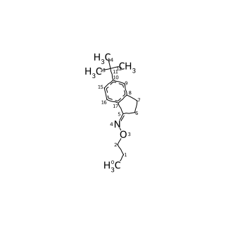 CCCO/N=C1\CCc2cc(C(C)(C)C)ccc21